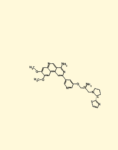 COc1cc2ncc3c(N)nc(-c4cncc(OC[C@@H](N)CN5CCC[C@@H]5c5nccs5)c4)cc3c2cc1OC